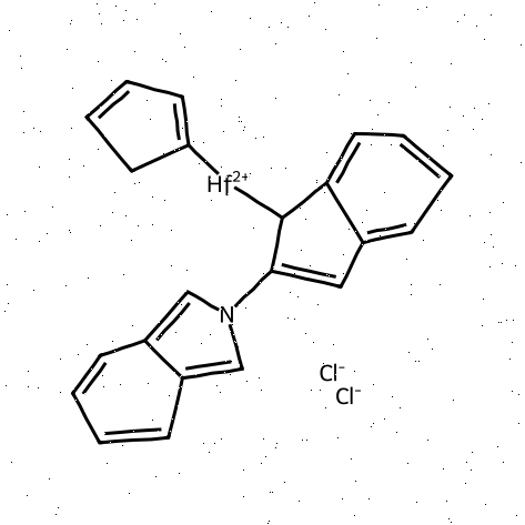 C1=CC[C]([Hf+2][CH]2C(n3cc4ccccc4c3)=Cc3ccccc32)=C1.[Cl-].[Cl-]